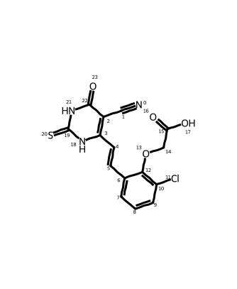 N#Cc1c(C=Cc2cccc(Cl)c2OCC(=O)O)[nH]c(=S)[nH]c1=O